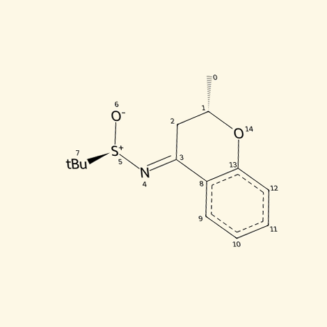 C[C@H]1C/C(=N\[S@+]([O-])C(C)(C)C)c2ccccc2O1